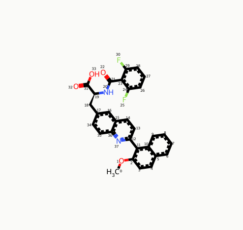 COc1ccc2ccccc2c1-c1ccc2cc(C[C@H](NC(=O)c3c(F)cccc3F)C(=O)O)ccc2n1